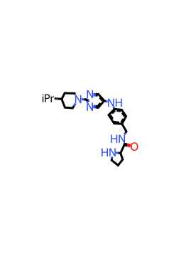 CC(C)C1CCN(c2ncc(Nc3ccc(CNC(=O)C4CCCN4)cc3)cn2)CC1